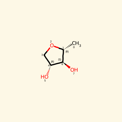 C[C@H]1O[CH][C@@H](O)[C@@H]1O